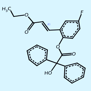 CCOC(=O)/C=C/c1cc(F)ccc1OC(=O)C(O)(c1ccccc1)c1ccccc1